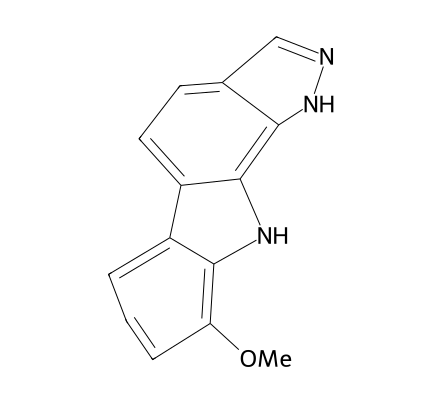 COc1cccc2c1[nH]c1c2ccc2cn[nH]c21